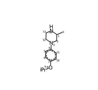 CC1CN(c2ccc(OC(C)C)cc2)CCN1